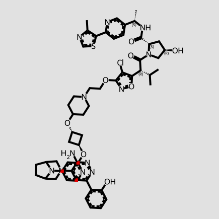 Cc1ncsc1-c1ccc([C@H](C)NC(=O)[C@@H]2C[C@@H](O)CN2C(=O)[C@@H](c2onc(OCCN3CCC(O[C@H]4C[C@H](Oc5cc(N6C7CCC6CN(c6cc(-c8ccccc8O)nnc6N)C7)ccn5)C4)CC3)c2Cl)C(C)C)cn1